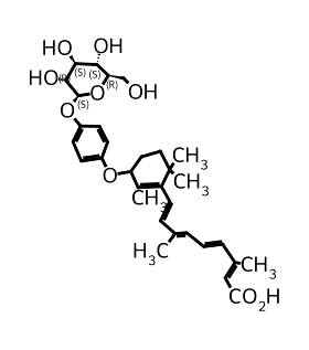 CC(C=CC1=C(C)C(Oc2ccc(O[C@@H]3O[C@H](CO)[C@@H](O)[C@H](O)[C@H]3O)cc2)CCC1(C)C)=CC=CC(C)=CC(=O)O